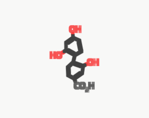 O=C(O)c1ccc(-c2ccc(O)cc2O)c(O)c1